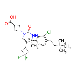 CC(C)(C)CCc1ccc([C@]2(C)NC(=O)N([C@H]3C[C@H](C(=O)O)C3)C=C2C2CC(F)(F)C2)cc1Cl